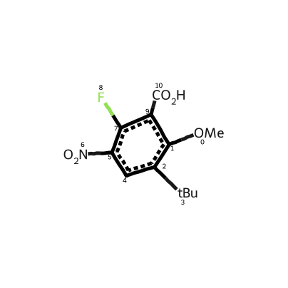 COc1c(C(C)(C)C)cc([N+](=O)[O-])c(F)c1C(=O)O